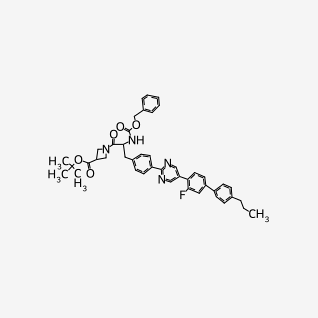 CCCc1ccc(-c2ccc(-c3cnc(-c4ccc(CC(NC(=O)OCc5ccccc5)C(=O)N5CC(C(=O)OC(C)(C)C)C5)cc4)nc3)c(F)c2)cc1